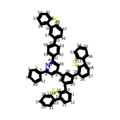 c1ccc(-c2cc(-c3cc(-c4cccc5c4sc4ccccc45)cc(-c4cccc5c4sc4ccccc45)c3)cc(-c3ccc(-c4ccc5sc6ccccc6c5c4)cc3)n2)cc1